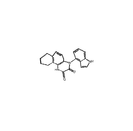 O=c1[nH]c2c3c(ccc2n(-c2cccc4[nH]ccc24)c1=O)CCCC3